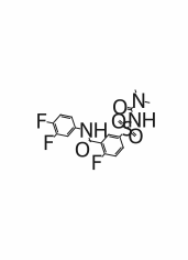 CN(C)C(=O)NS(=O)(=O)c1ccc(F)c(C(=O)Nc2ccc(F)c(F)c2)c1